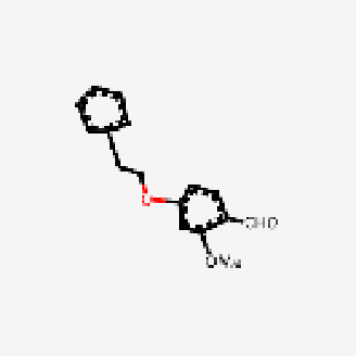 COc1cc(OCCc2ccccc2)ccc1C=O